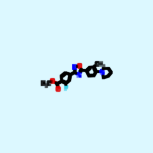 COC(=O)c1ccc(-c2noc(-c3ccc(N4CCCCC4)c(C)c3)n2)cc1F